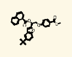 COC(=O)c1ccc(OCC(OC(=O)c2cccc3ccccc23)c2cc3cc(C(C)(C)C)ccc3o2)cc1